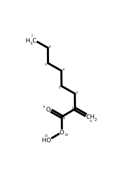 C=C(CCCCCC)C(=O)OO